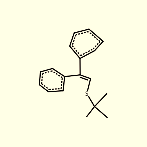 CC(C)(C)SC=C(c1ccccc1)c1ccccc1